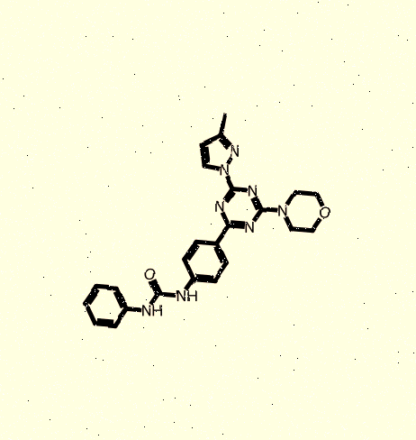 Cc1ccn(-c2nc(-c3ccc(NC(=O)Nc4ccccc4)cc3)nc(N3CCOCC3)n2)n1